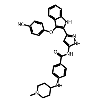 CN1CCC(Nc2ccc(C(=O)Nc3cc(-c4[nH]c5ccccc5c4Oc4ccc(C#N)cc4)n[nH]3)cc2)CC1